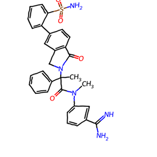 CN(C(=O)C(C)(c1ccccc1)N1Cc2cc(-c3ccccc3S(N)(=O)=O)ccc2C1=O)c1cccc(C(=N)N)c1